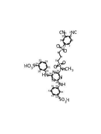 [C-]#[N+]c1ccc(S(=O)(=O)CCCS(=O)(=O)N(C)c2nc(Nc3cccc(S(=O)(=O)O)c3)nc(Nc3cccc(S(=O)(=O)O)c3)n2)cc1[N+]#[C-]